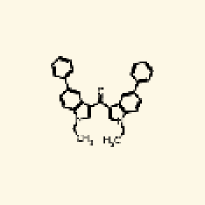 CCn1cc(C(=O)c2cn(CC)c3ccc(-c4ccccc4)cc23)c2cc(-c3ccccc3)ccc21